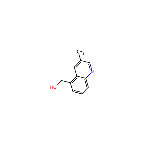 Cc1cnc2cccc(CO)c2c1